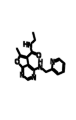 CCNC(=O)c1c(C)oc2ncnc(NCc3ccccn3)c12